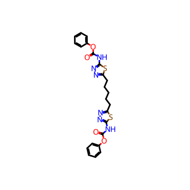 O=C(Nc1nnc(CCCCCc2nnc(NC(=O)Oc3ccccc3)s2)s1)Oc1ccccc1